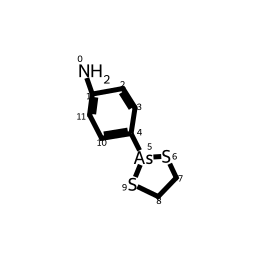 Nc1ccc([As]2SCCS2)cc1